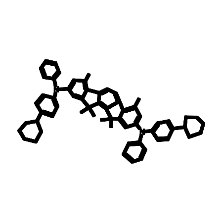 Cc1cc(N(c2ccccc2)c2ccc(C3CCCCC3)cc2)cc2c1-c1ccc3c(c1C2(C)C)C(C)(C)c1cc(N(c2ccccc2)c2ccc(C4CCCCC4)cc2)cc(C)c1-3